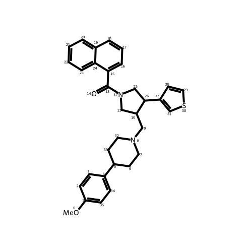 COc1ccc(C2CCN(CC3CN(C(=O)c4cccc5ccccc45)CC3c3ccsc3)CC2)cc1